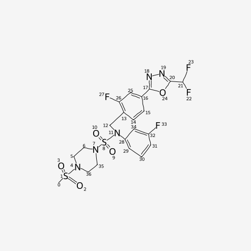 CS(=O)(=O)N1CCN(S(=O)(=O)N(Cc2ccc(-c3nnc(C(F)F)o3)cc2F)c2cccc(F)c2)CC1